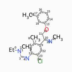 CCN(C)/C=N\c1cc(C)c(/C(COc2cccc(C)c2)=N/C)cc1Cl